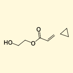 C1CC1.C=CC(=O)OCCO